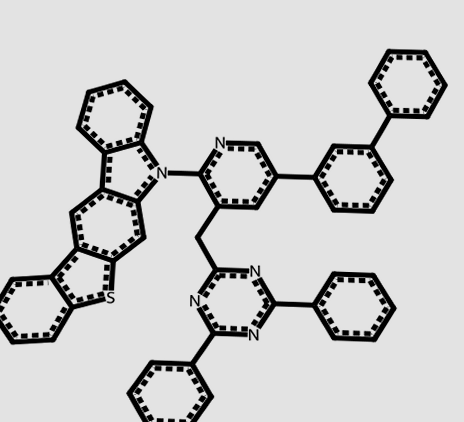 c1ccc(-c2cccc(-c3cnc(-n4c5ccccc5c5cc6c(cc54)sc4ccccc46)c(Cc4nc(-c5ccccc5)nc(-c5ccccc5)n4)c3)c2)cc1